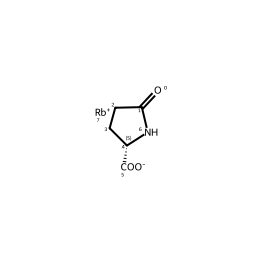 O=C1CC[C@@H](C(=O)[O-])N1.[Rb+]